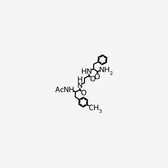 CC(=O)NC(Cc1ccc(C)cc1)C(=O)NCCC(=O)NC(Cc1ccccc1)C(N)=O